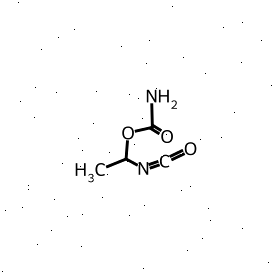 CC(N=C=O)OC(N)=O